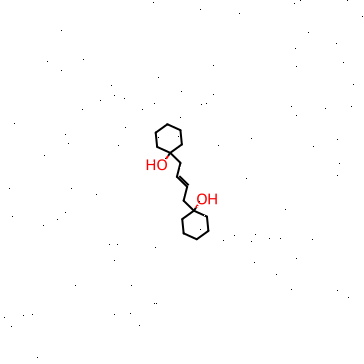 OC1(CC=CCC2(O)CCCCC2)CCCCC1